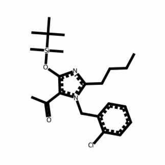 CCCCc1nc(O[Si](C)(C)C(C)(C)C)c(C(C)=O)n1Cc1ccccc1Cl